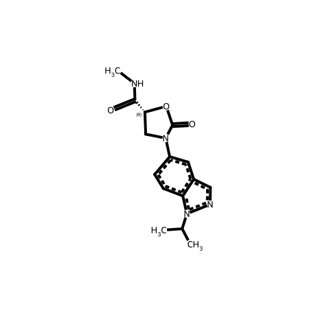 CNC(=O)[C@H]1CN(c2ccc3c(cnn3C(C)C)c2)C(=O)O1